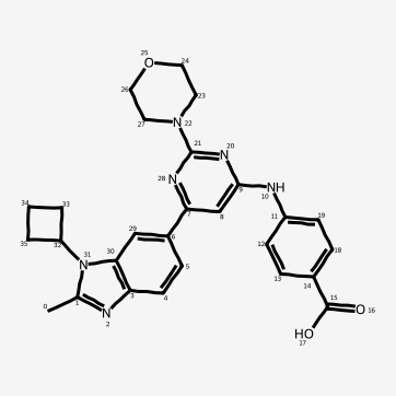 Cc1nc2ccc(-c3cc(Nc4ccc(C(=O)O)cc4)nc(N4CCOCC4)n3)cc2n1C1CCC1